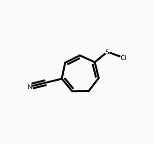 N#CC1=CCC=C(SCl)C=C1